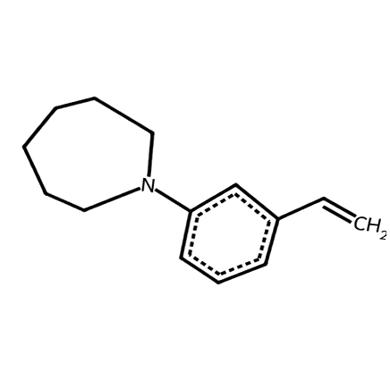 C=Cc1cccc(N2CCCCCC2)c1